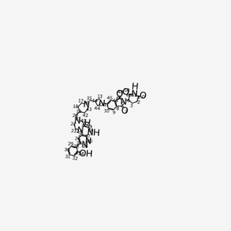 O=C1CCC(N2C(=O)c3ccc(N4CC(CN5CCC(CN6CCN7c8cc(-c9ccccc9O)nnc8NC[C@H]7C6)CC5)C4)cc3C2=O)C(=O)N1